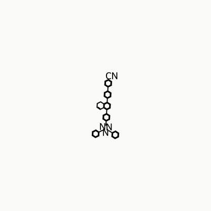 N#Cc1ccc(-c2ccc(-c3ccc(-c4ccc(-c5nc(-c6ccccc6)nc(-c6ccccc6)n5)cc4)c4c3CCC=C4)cc2)cc1